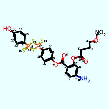 Nc1ccc(C(=O)Oc2ccc(P3(=S)SP(=S)(c4ccc(O)cc4)S3)cc2)c(OC(=O)CCCO[N+](=O)[O-])c1